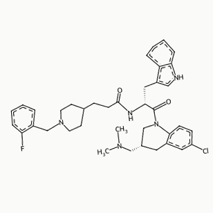 CN(C)C[C@H]1Cc2cc(Cl)ccc2N(C(=O)[C@@H](Cc2c[nH]c3ccccc23)NC(=O)CCC2CCN(Cc3ccccc3F)CC2)C1